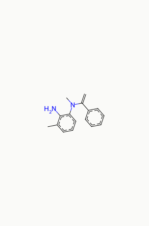 C=C(c1ccccc1)N(C)c1cccc(C)c1N